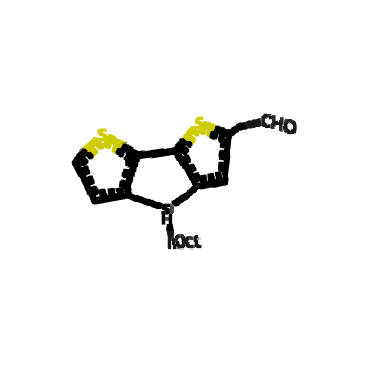 CCCCCCCC[SiH]1c2ccsc2-c2sc(C=O)cc21